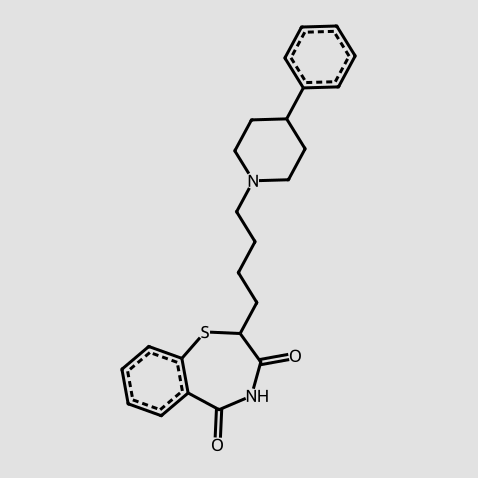 O=C1NC(=O)C(CCCCN2CCC(c3ccccc3)CC2)Sc2ccccc21